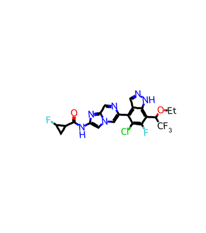 CCOC(c1c(F)c(Cl)c(-c2cn3cc(NC(=O)C4CC4F)nc3cn2)c2cn[nH]c12)C(F)(F)F